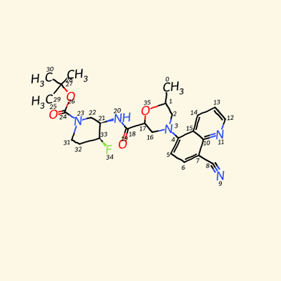 CC1CN(c2ccc(C#N)c3ncccc23)CC(C(=O)N[C@@H]2CN(C(=O)OC(C)(C)C)CC[C@@H]2F)O1